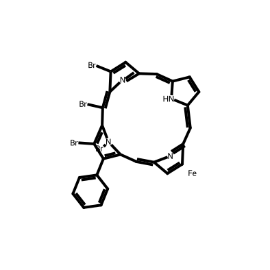 BrC1=Cc2cc3ccc(cc4nc(cc5c(-c6ccccc6)c(Br)c(c(Br)c1n2)n5Br)C=C4)[nH]3.[Fe]